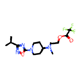 CC(C)c1noc(N2CCC(N(C)CCOC(=O)C(F)(F)F)CC2)n1